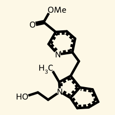 COC(=O)c1ccc(Cc2c(C)n(CCO)c3ccccc23)nc1